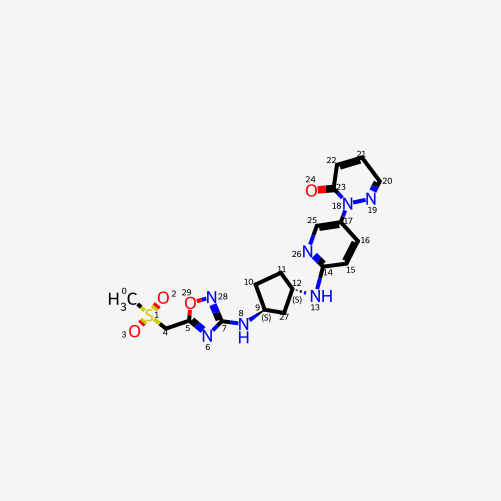 CS(=O)(=O)Cc1nc(N[C@H]2CC[C@H](Nc3ccc(-n4ncccc4=O)cn3)C2)no1